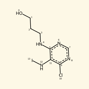 OCCCNc1ncnc(Cl)c1NI